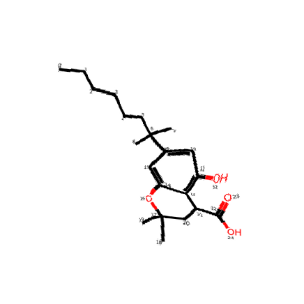 CCCCCCC(C)(C)c1cc(O)c2c(c1)OC(C)(C)CC2C(=O)O